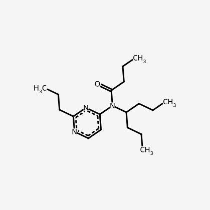 CCCC(=O)N(c1ccnc(CCC)n1)C(CCC)CCC